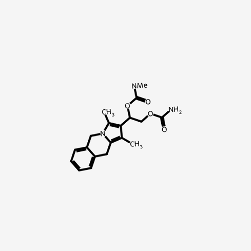 CNC(=O)OC(COC(N)=O)c1c(C)c2n(c1C)Cc1ccccc1C2